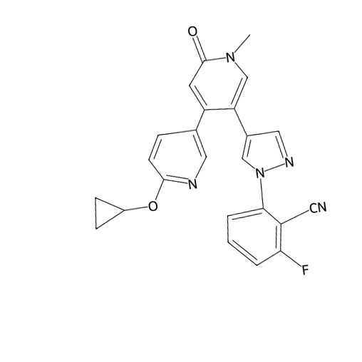 Cn1cc(-c2cnn(-c3cccc(F)c3C#N)c2)c(-c2ccc(OC3CC3)nc2)cc1=O